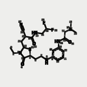 CCN1C(=O)C(CCNc2cccc(NC(=O)CN(C)C)c2)SC1CC(C#N)C(=O)NCC(F)F